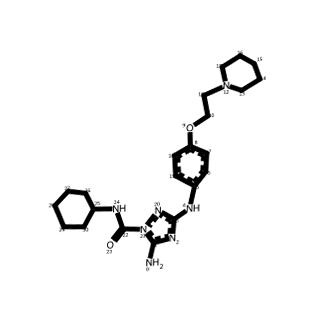 Nc1nc(Nc2ccc(OCCN3CCCCC3)cc2)nn1C(=O)NC1CCCCC1